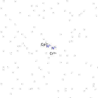 [Cr+3].[Ga+3].[N-3].[N-3]